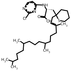 C/C(=C\CC1(C[C@@H](Nc2ccnc(Cl)n2)C(=O)O)CCCCS1)CCCC(C)CCCC(C)CCCC(C)C